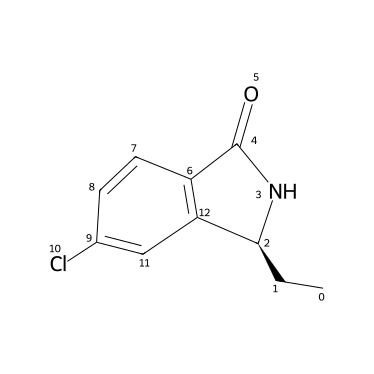 CC[C@@H]1NC(=O)c2ccc(Cl)cc21